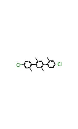 Cc1cc(Cl)ccc1-c1cc(C)c(-c2ccc(Cl)cc2C)cc1C